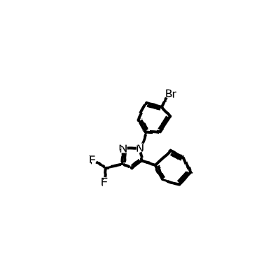 FC(F)c1cc(-c2ccccc2)n(-c2ccc(Br)cc2)n1